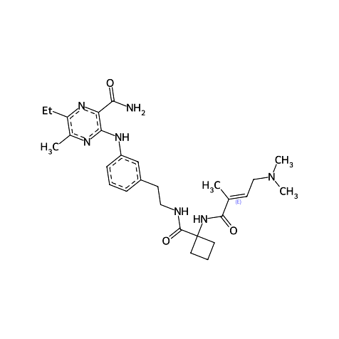 CCc1nc(C(N)=O)c(Nc2cccc(CCNC(=O)C3(NC(=O)/C(C)=C/CN(C)C)CCC3)c2)nc1C